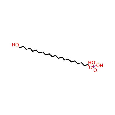 O=P(O)(O)OCCCCCCCCCCCCCCCCCCCCCCO